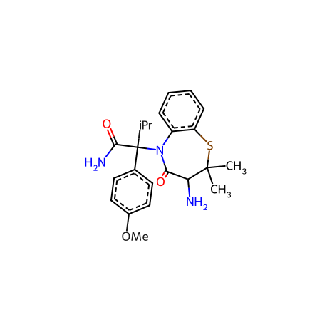 COc1ccc(C(C(N)=O)(C(C)C)N2C(=O)C(N)C(C)(C)Sc3ccccc32)cc1